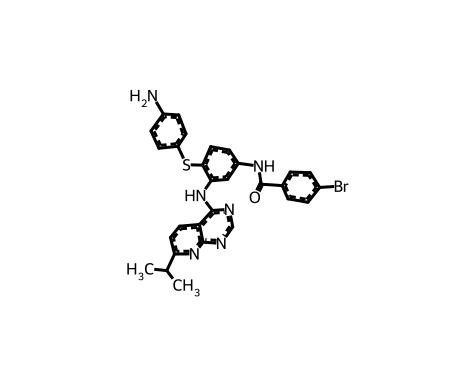 CC(C)c1ccc2c(Nc3cc(NC(=O)c4ccc(Br)cc4)ccc3Sc3ccc(N)cc3)ncnc2n1